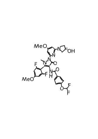 COc1cc(N2CC[C@H](O)C2)nc(-n2c(=O)c(NC(=O)c3ccc(OC(F)F)cc3)c(-c3c(F)cc(OC)cc3F)n2C)c1